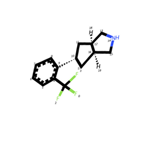 FC(F)(F)c1ccccc1[C@@H]1C[C@H]2CNC[C@H]2C1